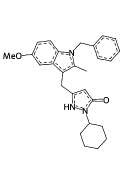 COc1ccc2c(c1)c(Cc1cc(=O)n(C3CCCCC3)[nH]1)c(C)n2Cc1ccccc1